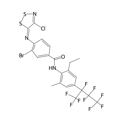 CCc1cc(C(F)(C(F)(F)F)C(F)(F)C(F)(F)F)cc(C)c1NC(=O)c1ccc(N=c2ssnc2Cl)c(Br)c1